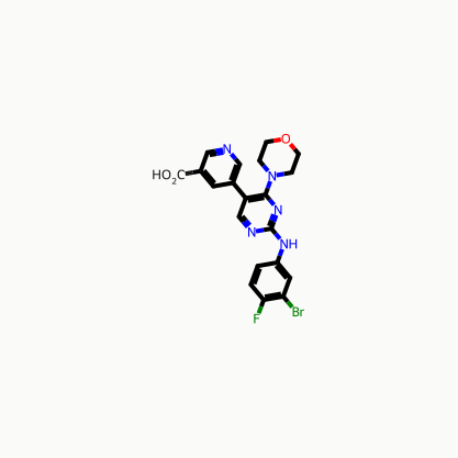 O=C(O)c1cncc(-c2cnc(Nc3ccc(F)c(Br)c3)nc2N2CCOCC2)c1